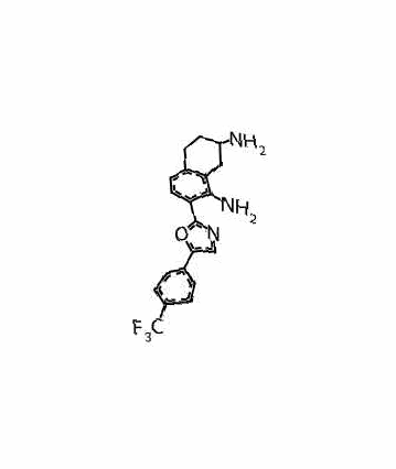 Nc1c(-c2ncc(-c3ccc(C(F)(F)F)cc3)o2)ccc2c1CC(N)CC2